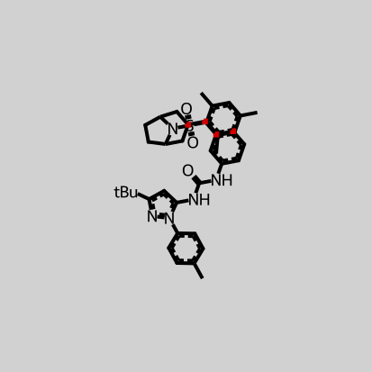 Cc1ccc(-n2nc(C(C)(C)C)cc2NC(=O)Nc2cccc(CC3CC4CCC(C3)N4S(=O)(=O)c3c(C)cc(C)cc3C)c2)cc1